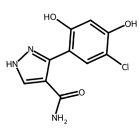 NC(=O)c1c[nH]nc1-c1cc(Cl)c(O)cc1O